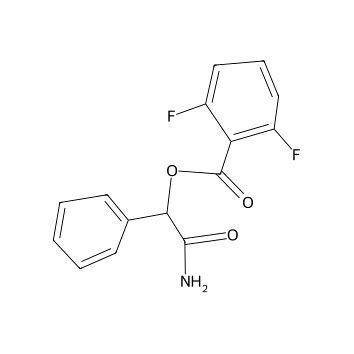 NC(=O)C(OC(=O)c1c(F)cccc1F)c1ccccc1